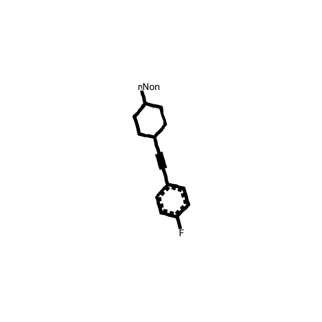 CCCCCCCCCC1CCC(C#Cc2ccc(F)cc2)CC1